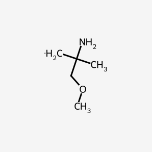 [CH2]C(C)(N)COC